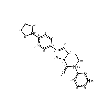 O=C1C2SC(c3ccc(N4CCCC4)nc3)=NC2CCN1c1cccnc1